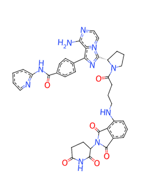 Nc1nccn2c([C@@H]3CCCN3C(=O)CCCNc3cccc4c3C(=O)N(C3CCC(=O)NC3=O)C4=O)nc(-c3ccc(C(=O)Nc4ccccn4)cc3)c12